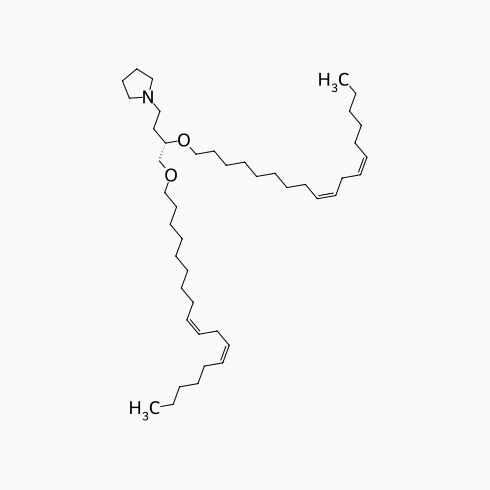 CCCCC/C=C\C/C=C\CCCCCCCCOC[C@H](CCN1CCCC1)OCCCCCCCC/C=C\C/C=C\CCCCC